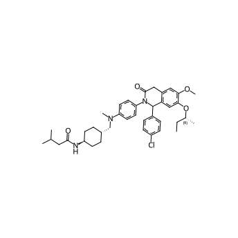 CC[C@@H](C)Oc1cc2c(cc1OC)CC(=O)N(c1ccc(N(C)C[C@H]3CC[C@H](NC(=O)CC(C)C)CC3)cc1)C2c1ccc(Cl)cc1